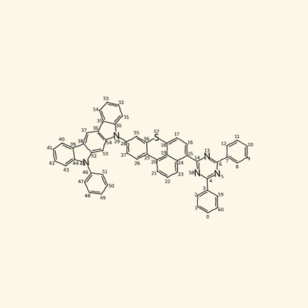 c1ccc(-c2nc(-c3ccccc3)nc(-c3ccc4c5c(cccc35)-c3ccc(-n5c6ccccc6c6cc7c8ccccc8n(-c8ccccc8)c7cc65)cc3S4)n2)cc1